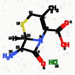 CC1=C(C(=O)O)N2C(=O)[C@@H](N)[C@H]2SC1.Cl